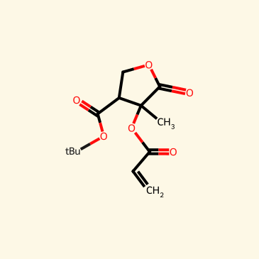 C=CC(=O)OC1(C)C(=O)OCC1C(=O)OC(C)(C)C